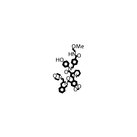 COCCNC(=O)c1ccc(CN(C(=O)c2cc(-c3cc4c(cc3C(=O)N3Cc5ccccc5CC3CN3CCOCC3)OCO4)n3c2CCCC3)c2ccc(O)cc2)cc1